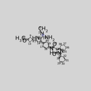 C=C/N=C(/N)c1[nH]c(C2CC(OC)C2)cc1-c1ccc(NC(=O)c2c3n(n(-c4ccccc4)c2=O)CCCC3)cc1